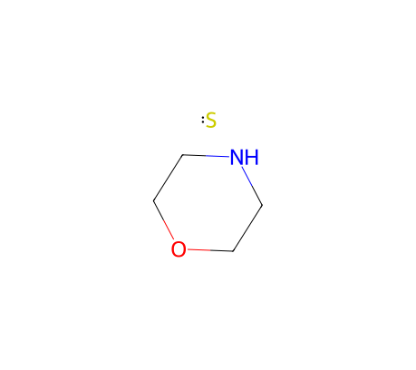 C1COCCN1.[S]